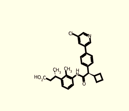 Cc1c(NC(=O)[C@@H](c2ccc(-c3cncc(Cl)c3)cc2)C2CCC2)cccc1[C@@H](C)CC(=O)O